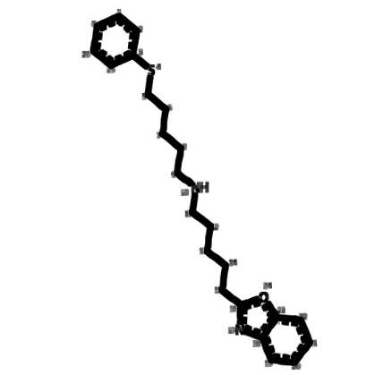 c1ccc(SCCCCCNCCCCCc2nc3ccccc3o2)cc1